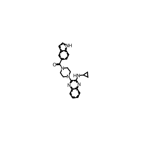 O=C(c1ccc2[nH]ccc2c1)N1CCN(c2nc3ccccc3nc2NC2CC2)CC1